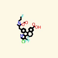 O=COC1C(Cc2ccc(C3=C(c4cncc(Cl)c4C(F)(F)F)CCCc4cc(C(=O)O)ccc43)cc2)CN1CCCF